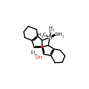 CCO.[CH3][Zr]([CH3])(=[SiH2])([CH]1C=CC2=C1CCCC2)[CH]1C=CC2=C1CCCC2